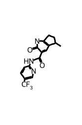 CC1CCc2c1cc(C(=O)Nc1ccc(C(F)(F)F)cn1)c(=O)n2C